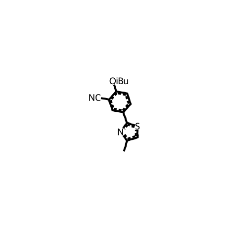 Cc1csc(-c2ccc(OCC(C)C)c(C#N)c2)n1